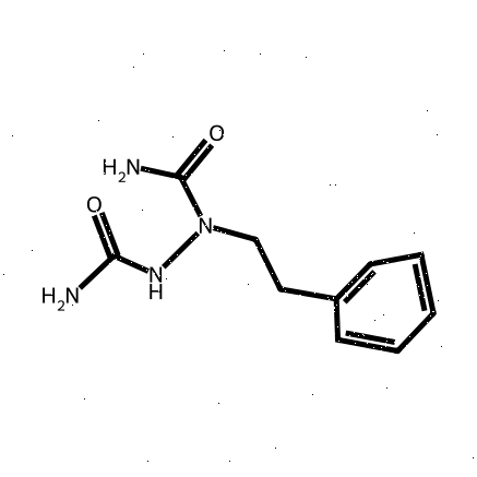 NC(=O)NN(CCc1ccccc1)C(N)=O